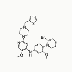 COc1cc(Nc2nc(N3CCN(Cc4cccs4)CC3)ncc2OC)ccc1N1CC=CC=C1Br